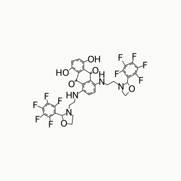 O=C1c2c(O)ccc(O)c2C(=O)c2c(NCCN3CCOC3c3c(F)c(F)c(F)c(F)c3F)ccc(NCCN3CCOC3c3c(F)c(F)c(F)c(F)c3F)c21